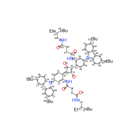 CCCCC(CC)CNC(=O)CCC(=O)NC1=CC(=[N+]2c3ccc(C(C)(C)C)cc3-c3cc(C(C)(C)C)ccc32)C=C/C1=C1\C(=O)C(c2ccc(-n3c4ccc(C(C)(C)C)cc4c4cc(C(C)(C)C)ccc43)cc2NC(=O)CCC(=O)NCC(CC)CCCC)=C1[O-]